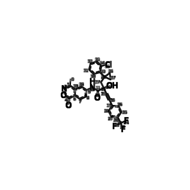 Cc1noc(=O)c2ccc(NC(=O)C(O)(C#Cc3ccc(C(F)(F)F)cc3)CC3(c4ccccc4Cl)CC3)cc12